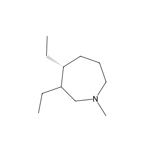 CCC1CN(C)CCC[C@H]1CC